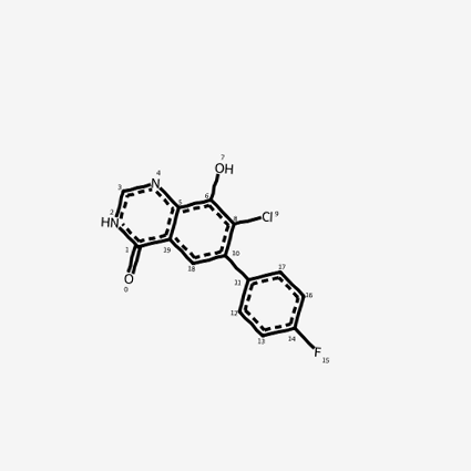 O=c1[nH]cnc2c(O)c(Cl)c(-c3ccc(F)cc3)cc12